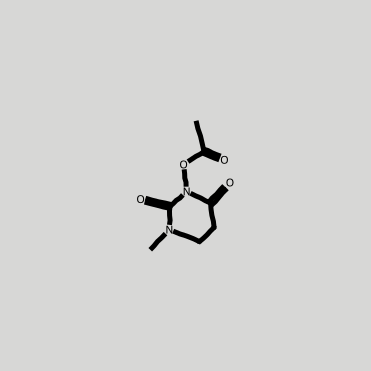 CC(=O)ON1C(=O)CCN(C)C1=O